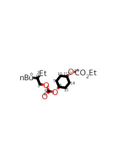 CCCCC(CC)COC(=O)OC1CCC(OC(=O)OCC)CC1